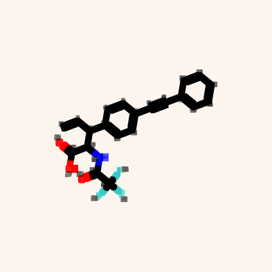 C=CC(c1ccc(C#Cc2ccccc2)cc1)C(NC(=O)C(F)(F)F)C(=O)O